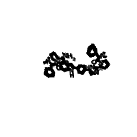 CN(C)[C@@H](C(=O)N1CCC[C@H]1c1ncc(-c2ccc(-c3cc4cc([N+]5(C(=O)[C@@H](c6ccccc6)N(C)C)CCC[C@H]5C(N)=O)ccc4[nH]3)cc2)[nH]1)c1ccccc1